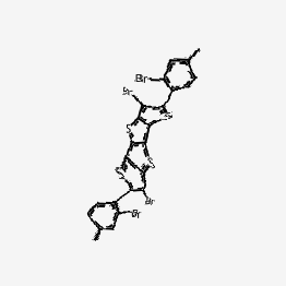 Cc1ccc(-c2sc3c(sc4c5sc(-c6ccc(C)cc6Br)c(Br)c5sc34)c2Br)c(Br)c1